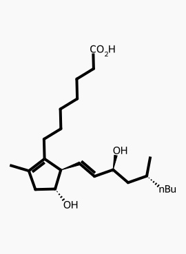 CCCC[C@@H](C)C[C@H](O)/C=C/[C@@H]1C(CCCCCCC(=O)O)=C(C)C[C@H]1O